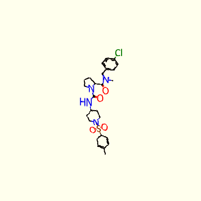 CC1=CCC(S(=O)(=O)N2CCC(NC(=O)N3CCCC3C(=O)N(C)Cc3ccc(Cl)cc3)CC2)C=C1